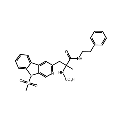 CC(Cc1cc2c3ccccc3n(S(C)(=O)=O)c2cn1)(NC(=O)O)C(=O)NCCc1ccccc1